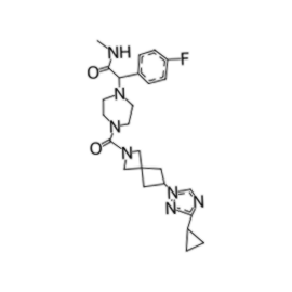 CNC(=O)C(c1ccc(F)cc1)N1CCN(C(=O)N2CC3(CC(n4cnc(C5CC5)n4)C3)C2)CC1